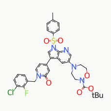 Cc1ccc(S(=O)(=O)n2cc(-c3ccn(Cc4cccc(Cl)c4F)c(=O)c3)c3cc(N4CCON(C(=O)OC(C)(C)C)CC4)cnc32)cc1